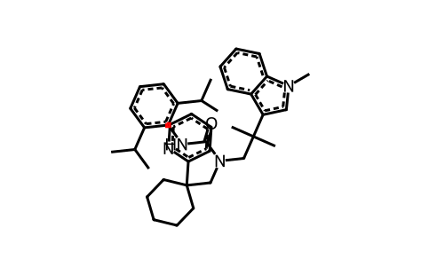 CC(C)c1cccc(C(C)C)c1NC(=O)N(CC(C)(C)c1cn(C)c2ccccc12)CC1(c2ccccn2)CCCCC1